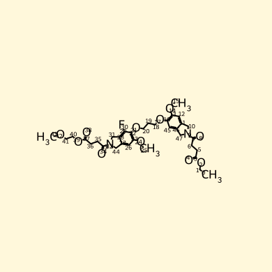 CCOC(=O)CCC(=O)N1Cc2cc(OC)c(OCCCOc3c(OC)cc4c(c3F)CN(C(=O)CCC(=O)OCCOC)C4)cc2C1